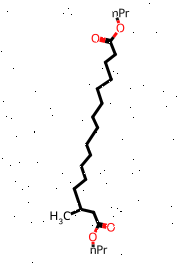 CCCOC(=O)CCCCCCCCCCCCC(C)CC(=O)OCCC